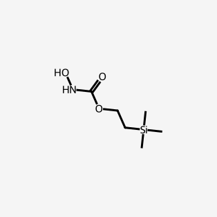 C[Si](C)(C)CCOC(=O)NO